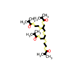 C=C(C)C(=O)SCCSC(CSCC(CSC(=O)C(=C)C)SCCSC(=O)C(=C)C)CSC(=O)C(=C)C